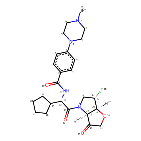 CCCN1CCN(c2ccc(C(=O)N[C@H](C(=O)N3C[C@H](F)[C@H]4OCC(=O)[C@H]43)C3CCCC3)cc2)CC1